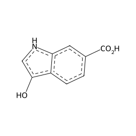 O=C(O)c1ccc2c(O)c[nH]c2c1